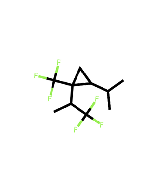 CC(C)C1CC1(C(C)C(F)(F)F)C(F)(F)F